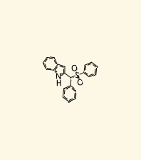 O=S(=O)([C](c1ccccc1)c1cc2ccccc2[nH]1)c1ccccc1